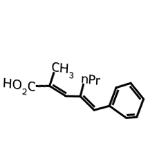 CCCC(=C\c1ccccc1)/C=C(\C)C(=O)O